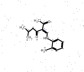 CC(=O)/C(=C/Nc1ccccc1N)C(=O)CC(C)C